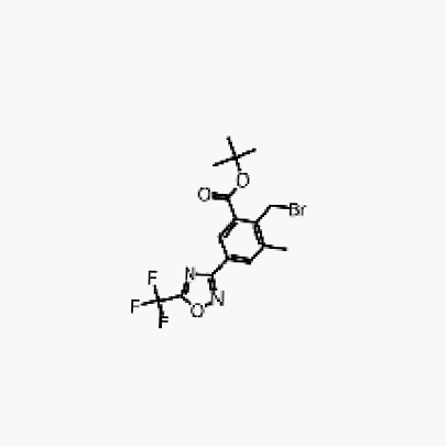 Cc1cc(-c2noc(C(F)(F)F)n2)cc(C(=O)OC(C)(C)C)c1CBr